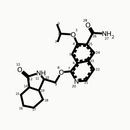 CC(C)Oc1cc2c(OCC3NC(=O)C4CCCCC34)nccc2cc1C(N)=O